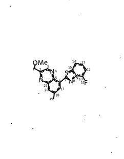 COCc1cnc2c(-c3nc4c(F)cccc4s3)cc(C)cc2n1